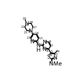 CNc1nc(C)c(-c2ccnc(Nc3ccc(N4CCN(C)CC4)cn3)n2)s1